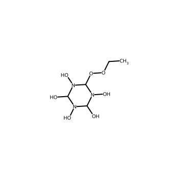 CCOOC1N(O)C(O)N(O)C(O)N1O